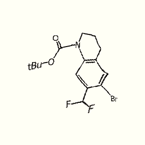 CC(C)(C)OC(=O)N1CCCc2cc(Br)c(C(F)F)cc21